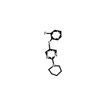 Fc1ccccc1Sc1cnc(N2CCCCC2)nc1